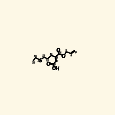 C=CCOC(=O)C(=CC(=O)O)CCCSCC